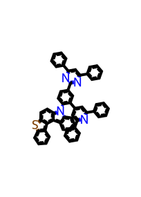 c1ccc(-c2cc(-c3cc(-c4nc(-c5ccccc5)cc(-c5ccccc5)n4)ccc3-n3c4ccccc4c4c5c(ccc43)sc3ccccc35)cc(-c3ccccc3)n2)cc1